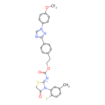 Cc1ccc(F)c(N2C(=O)CS/C2=N\C(=O)OCCc2ccc(-c3ncn(-c4ccc(OC(F)(F)F)cc4)n3)cc2)c1